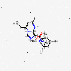 CCCCO[C@@H]1C[C@@H]2C[C@H](C1)[C@@H]2NC(=O)c1ncn2c(COC)cc(C)nc12